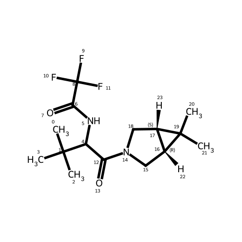 CC(C)(C)C(NC(=O)C(F)(F)F)C(=O)N1C[C@@H]2[C@H](C1)C2(C)C